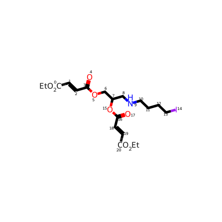 CCOC(=O)/C=C/C(=O)OCC(CNCCCCI)OC(=O)/C=C/C(=O)OCC